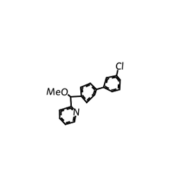 COC(c1ccc(-c2cccc(Cl)c2)cc1)c1ccccn1